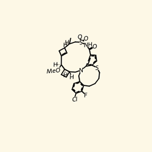 CO[C@H]1C2=C[C@@H](C2)[C@H](C)CS(=O)(=O)NC(=O)c2ccc3c(c2)N(Cc2ccc(Cl)c(F)c2CCCCS3)C[C@@H]2CC[C@H]21